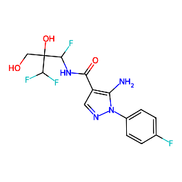 Nc1c(C(=O)NC(F)C(O)(CO)C(F)F)cnn1-c1ccc(F)cc1